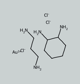 NC1CCCCC1N.NCCCN.[Au+3].[Cl-].[Cl-].[Cl-]